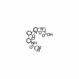 COc1nc(-c2cccc(-c3cccc(NC(=O)C4=CC=NN(C)C4)c3Cl)c2Cl)ccc1CN1CC[C@H](C(=O)O)C1